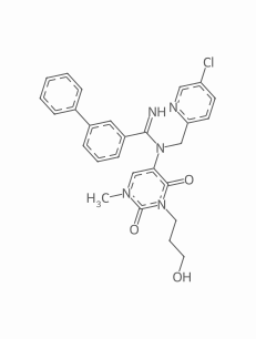 Cn1cc(N(Cc2ccc(Cl)cn2)C(=N)c2cccc(-c3ccccc3)c2)c(=O)n(CCCO)c1=O